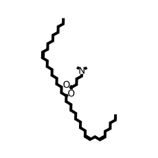 CCCCC/C=C\C/C=C\CCCCCCCCC(CCCCCCCC/C=C\CCCCCCCC)OC(=O)CCCN(C)C